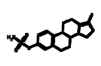 CC1=C2CCC3c4ccc(OS(N)(=O)=O)cc4CCC3C2CC1